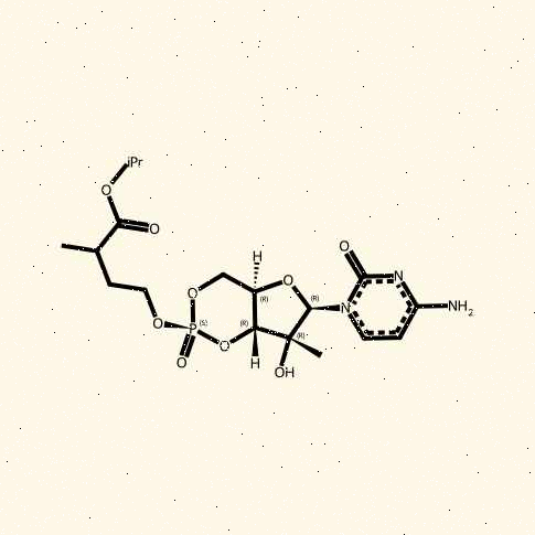 CC(C)OC(=O)C(C)CCO[P@@]1(=O)OC[C@H]2O[C@@H](n3ccc(N)nc3=O)[C@](C)(O)[C@@H]2O1